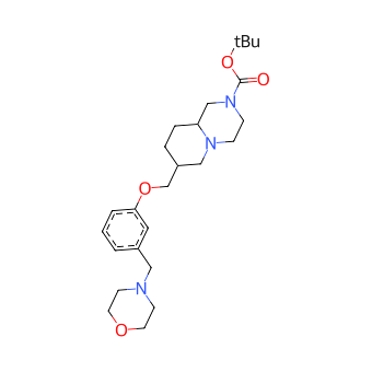 CC(C)(C)OC(=O)N1CCN2CC(COc3cccc(CN4CCOCC4)c3)CCC2C1